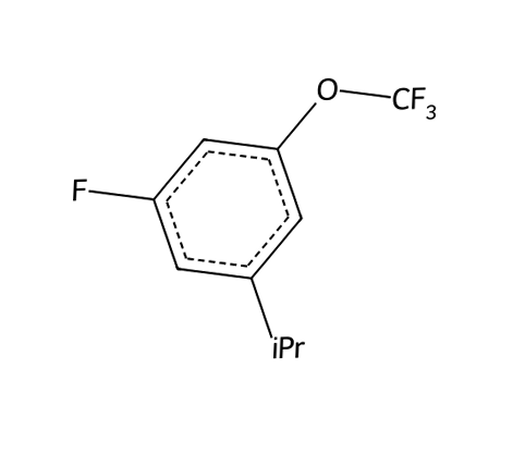 CC(C)c1cc(F)cc(OC(F)(F)F)c1